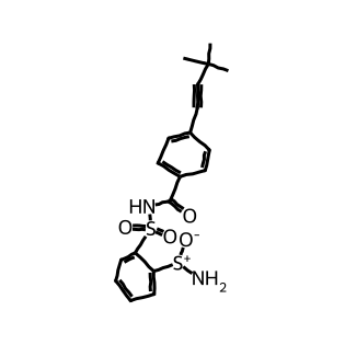 CC(C)(C)C#Cc1ccc(C(=O)NS(=O)(=O)c2ccccc2[S+](N)[O-])cc1